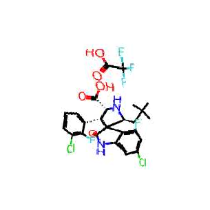 CC(C)(C)C[C@@H]1N[C@@H](C(=O)O)[C@@H](c2cccc(Cl)c2F)C12C(=O)Nc1cc(Cl)cc(F)c12.O=C(O)C(F)(F)F